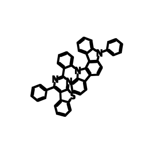 c1ccc(-c2nc(-c3ccccc3-n3c4ccccc4c4ccc5c(c6ccccc6n5-c5ccccc5)c43)nc3sc4ccccc4c23)cc1